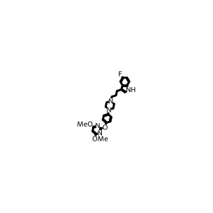 COc1cc(OC)nc(Oc2ccc(N3CCN(CCCc4c[nH]c5ccc(F)cc45)CC3)cc2)n1